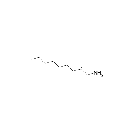 CCCCCCC[CH]CN